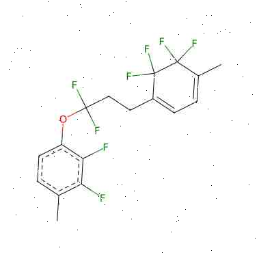 CC1=CC=C(CCC(F)(F)Oc2ccc(C)c(F)c2F)C(F)(F)C1(F)F